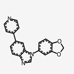 c1cc(-c2ccc3ncn(-c4ccc5c(c4)OCO5)c3c2)ccn1